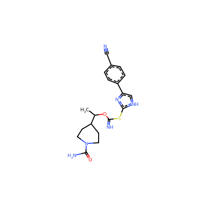 CC(OC(=N)Sc1nc(-c2ccc(C#N)cc2)c[nH]1)C1CCN(C(N)=O)CC1